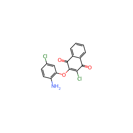 Nc1ccc(Cl)cc1OC1=C(Cl)C(=O)c2ccccc2C1=O